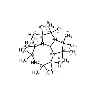 CC1(C)NC(C)(C)C(C)(C)N2C3N(C1(C)C)C(C)(C)C(C)(C)N3C(C)(C)C2(C)C